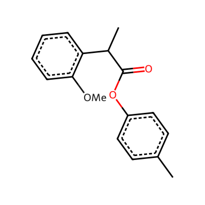 COc1ccccc1C(C)C(=O)Oc1ccc(C)cc1